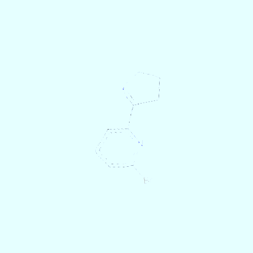 Brc1cccc(C2=NCCC2)n1